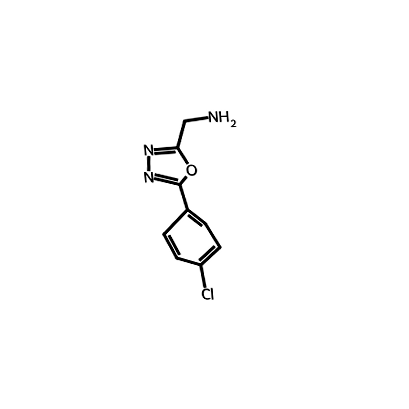 NCc1nnc(-c2ccc(Cl)cc2)o1